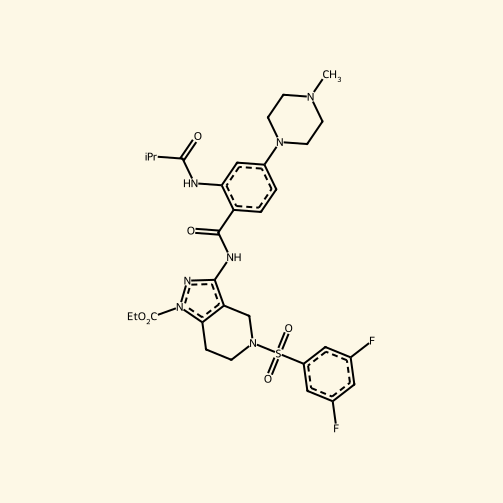 CCOC(=O)n1nc(NC(=O)c2ccc(N3CCN(C)CC3)cc2NC(=O)C(C)C)c2c1CCN(S(=O)(=O)c1cc(F)cc(F)c1)C2